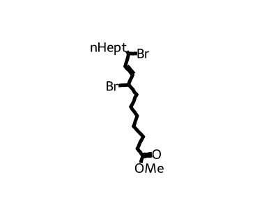 CCCCCCCC(Br)C=CC(Br)CCCCCCC(=O)OC